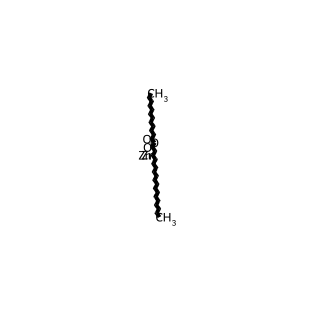 CCCCCCCCCCCCCCCCCC(=O)OC(=O)CCCCCCCCCCC.[Zn].[Zn]